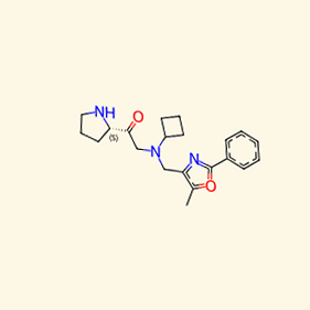 Cc1oc(-c2ccccc2)nc1CN(CC(=O)[C@@H]1CCCN1)C1CCC1